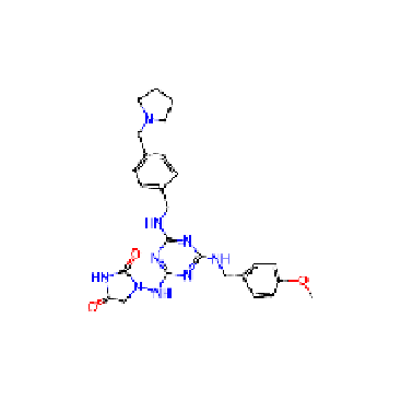 COc1ccc(CNc2nc(NCc3ccc(CN4CCCC4)cc3)nc(NN3CC(=O)NC3=O)n2)cc1